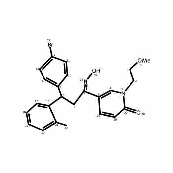 COCCn1cc(C(CC(c2ccc(Br)cc2)c2ccccc2C)=NO)ccc1=O